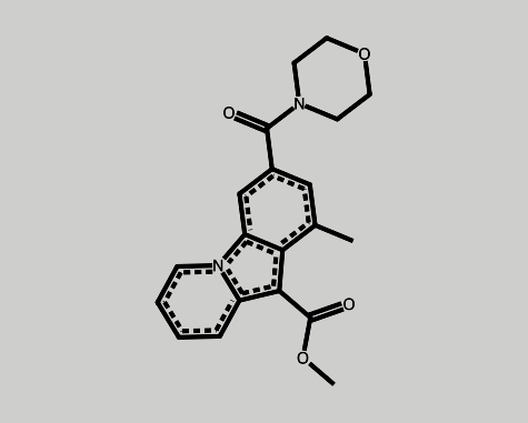 COC(=O)c1c2c(C)cc(C(=O)N3CCOCC3)cc2n2ccccc12